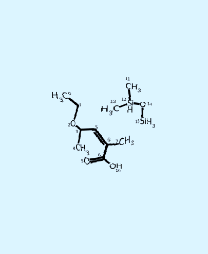 CCOC(C)C=C(C)C(=O)O.C[SiH](C)O[SiH3]